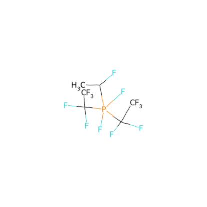 CC(F)P(F)(F)(C(F)(F)C(F)(F)F)C(F)(F)C(F)(F)F